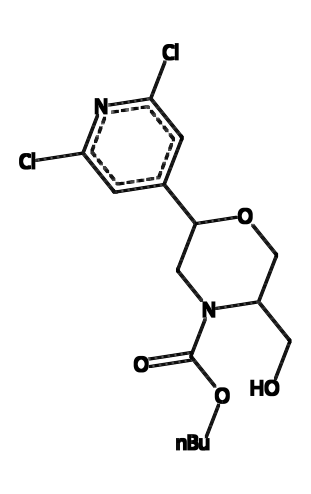 CCCCOC(=O)N1CC(c2cc(Cl)nc(Cl)c2)OCC1CO